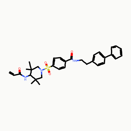 C=CC(=O)NC1C(C)(C)CN(S(=O)(=O)c2ccc(C(=O)NCCc3ccc(-c4ccccc4)cc3)cc2)CC1(C)C